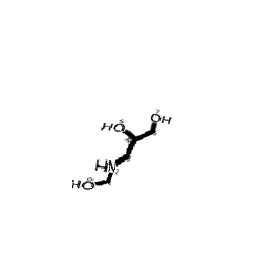 OCNCC(O)CO